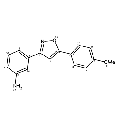 COc1ccc(-c2cc(-c3cccc(N)c3)no2)cc1